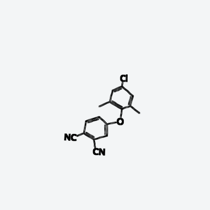 Cc1cc(Cl)cc(C)c1Oc1ccc(C#N)c(C#N)c1